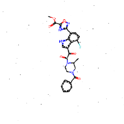 COC(=O)c1nc(-c2ccc(F)c3c(C(=O)C(=O)N4CCN(C(=O)c5ccccc5)CC4C)c[nH]c23)no1